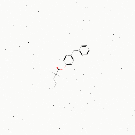 CCCCCCCCCCCCC(C)(CCCCCCCCCC)C(=O)Oc1ccc(Cc2ccccc2)cc1